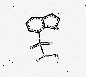 CN(C)S(=O)(=O)c1cccc2cc[nH]c12